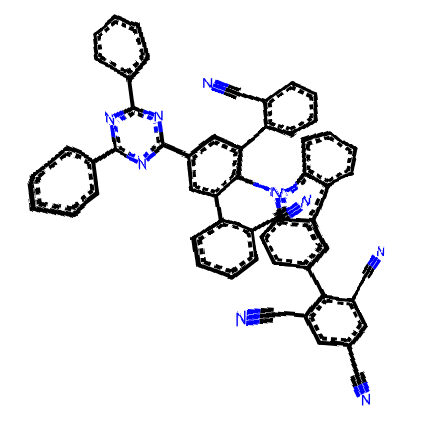 N#Cc1cc(C#N)c(-c2ccc3c(c2)c2ccccc2n3-c2c(-c3ccccc3C#N)cc(-c3nc(-c4ccccc4)nc(-c4ccccc4)n3)cc2-c2ccccc2C#N)c(C#N)c1